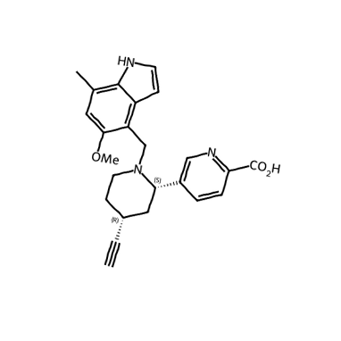 C#C[C@@H]1CCN(Cc2c(OC)cc(C)c3[nH]ccc23)[C@H](c2ccc(C(=O)O)nc2)C1